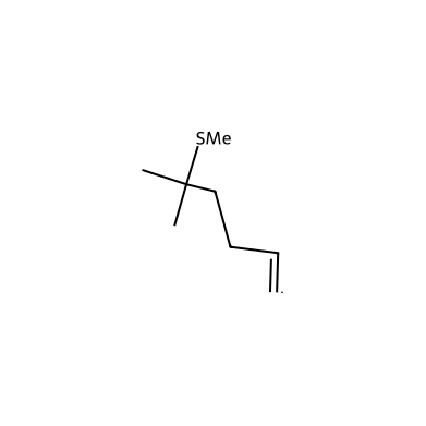 [CH]=CCCC(C)(C)SC